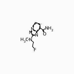 CN(CCF)c1nc2c(C(N)=O)[c]ccn2n1